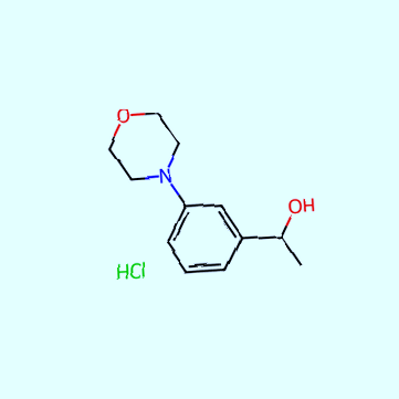 CC(O)c1cccc(N2CCOCC2)c1.Cl